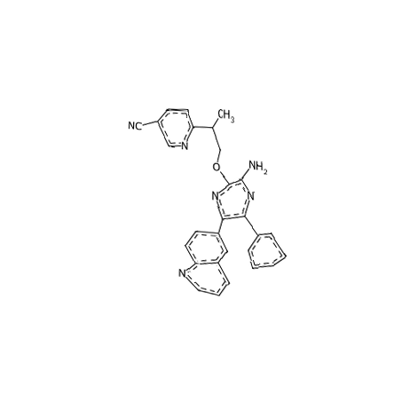 CC(COc1nc(-c2ccc3ncccc3c2)c(-c2ccccc2)nc1N)c1ccc(C#N)cn1